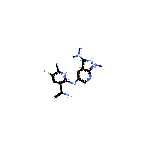 C=C(N)c1cc(F)c(C)nc1Nc1cnc2c(c1)c(N(C)C)nn2C